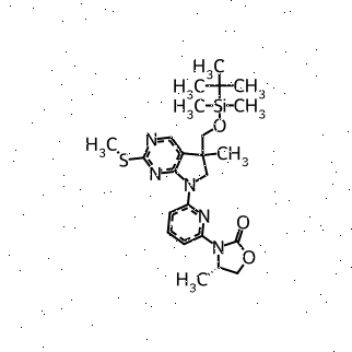 CSc1ncc2c(n1)N(c1cccc(N3C(=O)OC[C@@H]3C)n1)CC2(C)CO[Si](C)(C)C(C)(C)C